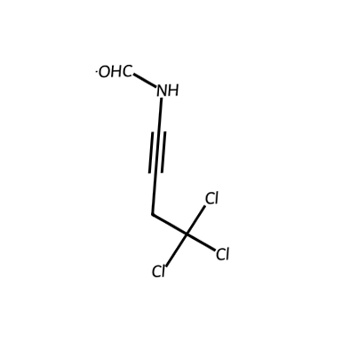 O=[C]NC#CCC(Cl)(Cl)Cl